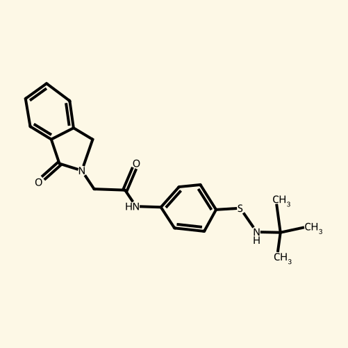 CC(C)(C)NSc1ccc(NC(=O)CN2Cc3ccccc3C2=O)cc1